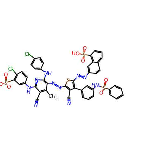 Cc1c(C#N)c(Nc2ccc(Cl)c(S(=O)(=O)O)c2)nc(Nc2ccc(Cl)cc2)c1N=Nc1sc(N=Nc2ccc3cccc(S(=O)(=O)O)c3c2)c(-c2cccc(NS(=O)(=O)c3ccccc3)c2)c1C#N